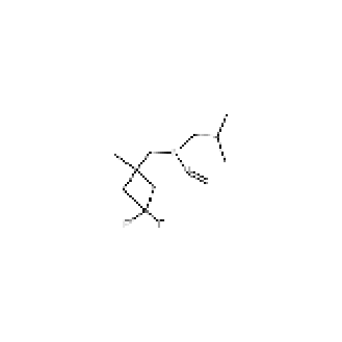 C=NN(CC(C)C)CC1(C)CC(F)(F)C1